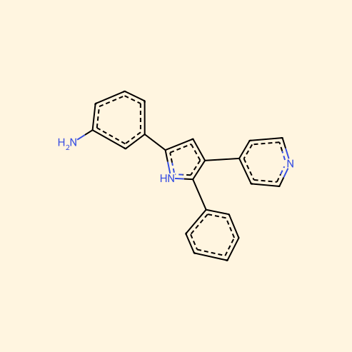 Nc1cccc(-c2cc(-c3ccncc3)c(-c3ccccc3)[nH]2)c1